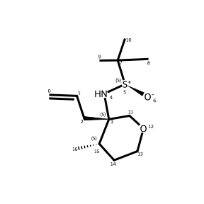 C=CC[C@@]1(N[S@+]([O-])C(C)(C)C)COCC[C@@H]1C